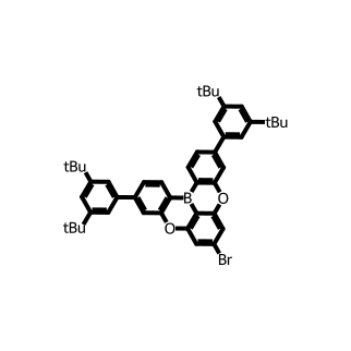 CC(C)(C)c1cc(-c2ccc3c(c2)Oc2cc(Br)cc4c2B3c2ccc(-c3cc(C(C)(C)C)cc(C(C)(C)C)c3)cc2O4)cc(C(C)(C)C)c1